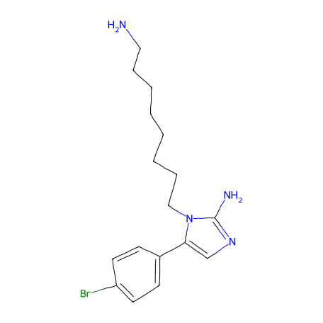 NCCCCCCCCn1c(-c2ccc(Br)cc2)cnc1N